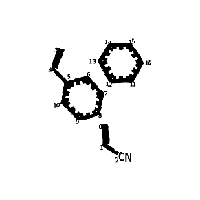 C=CC#N.C=Cc1ccccc1.c1ccccc1